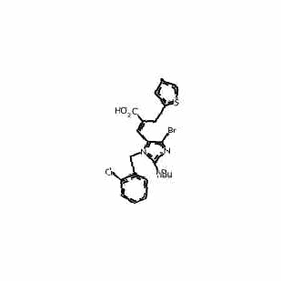 CCCCc1nc(Br)c(/C=C(\Cc2cccs2)C(=O)O)n1Cc1ccccc1Cl